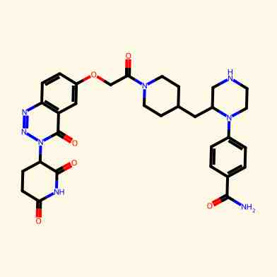 NC(=O)c1ccc(N2CCNCC2CC2CCN(C(=O)COc3ccc4nnn(C5CCC(=O)NC5=O)c(=O)c4c3)CC2)cc1